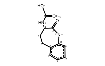 O=C(O)N[C@H]1CCc2ccccc2NC1=O